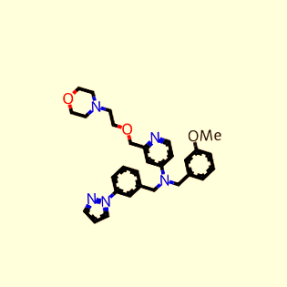 COc1cccc(CN(Cc2cccc(-n3cccn3)c2)c2ccnc(COCCN3CCOCC3)c2)c1